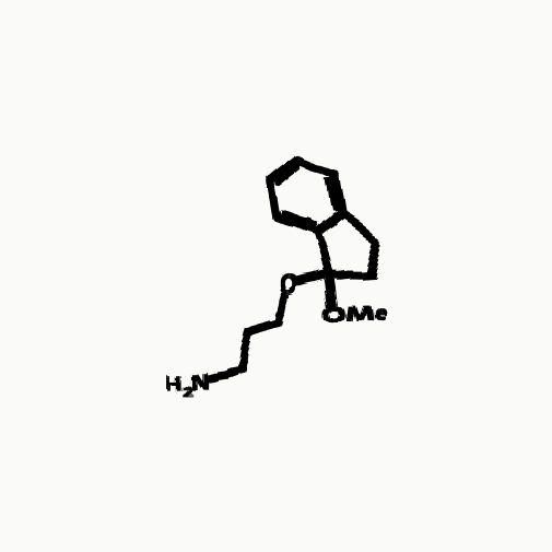 COC1(OCCCN)CCc2ccccc21